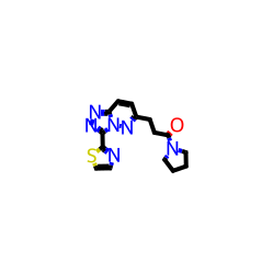 O=C(CCc1ccc2nnc(-c3nccs3)n2n1)N1CCCC1